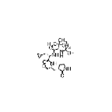 CC(C)(C)[C@H](NC(=O)O)C(=O)N[C@@H](CC1CC1)C(=O)N[C@H](C=O)C[C@@H]1CCNC1=O